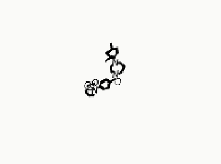 Cc1ccc(N2CCCN(C(=O)c3ccc(N4CCCS4(=O)=O)cc3)CC2)c(C)c1